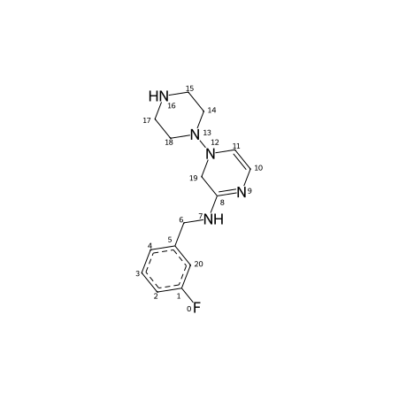 Fc1cccc(CNC2=NC=CN(N3CCNCC3)C2)c1